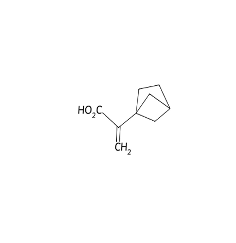 C=C(C(=O)O)C12CCC(C1)C2